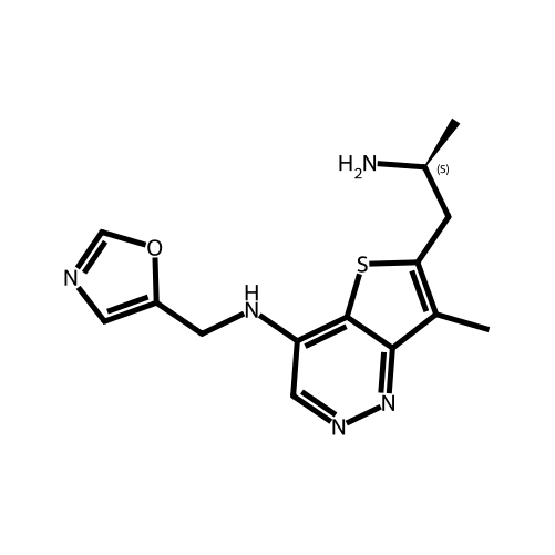 Cc1c(C[C@H](C)N)sc2c(NCc3cnco3)cnnc12